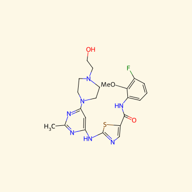 COc1c(F)cccc1NC(=O)c1cnc(Nc2cc(N3CCN(CCO)CC3)nc(C)n2)s1